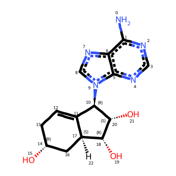 Nc1ncnc2c1ncn2[C@@H]1C2=CC[C@@H](O)C[C@@H]2[C@@H](O)[C@H]1O